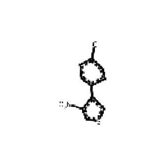 O=[N+]([O-])c1cscc1-c1ccc(Cl)cc1